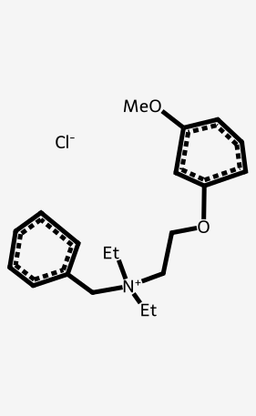 CC[N+](CC)(CCOc1cccc(OC)c1)Cc1ccccc1.[Cl-]